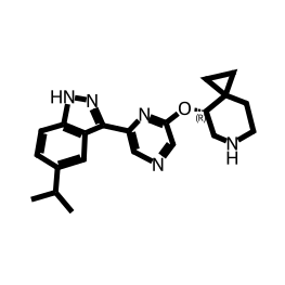 CC(C)c1ccc2[nH]nc(-c3cncc(O[C@H]4CNCCC45CC5)n3)c2c1